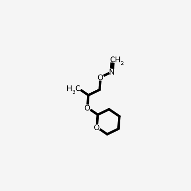 C=NOCC(C)OC1CCCCO1